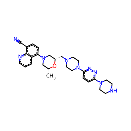 C[C@@H]1CN(c2ccc(C#N)c3ncccc23)C[C@H](CN2CCN(c3ccc(N4CCNCC4)nn3)CC2)O1